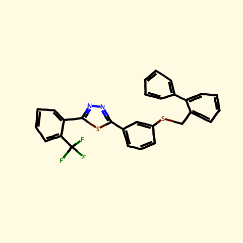 FC(F)(F)c1ccccc1-c1nnc(-c2cccc(SCc3ccccc3-c3ccccc3)c2)s1